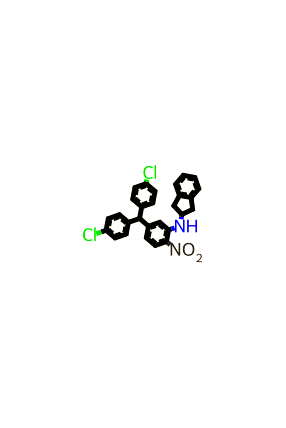 O=[N+]([O-])c1ccc(C(c2ccc(Cl)cc2)c2ccc(Cl)cc2)cc1NC1Cc2ccccc2C1